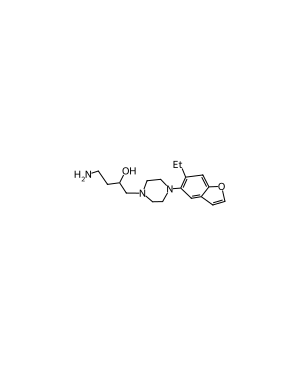 CCc1cc2occc2cc1N1CCN(CC(O)CCN)CC1